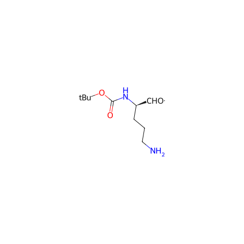 CC(C)(C)OC(=O)N[C@@H]([C]=O)CCCN